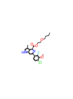 CCCCOCCOC(=O)c1nc(-c2ccc(Cl)c(OC)c2F)cc2[nH]cc(C)c12